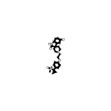 CP(C)(=O)C1(c2ccc(OCCN3CCC4(CC3)C(=O)Nc3ccc(Cl)cc34)cc2)CC1